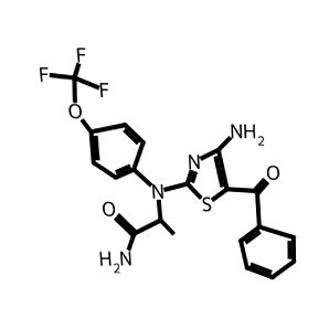 CC(C(N)=O)N(c1ccc(OC(F)(F)F)cc1)c1nc(N)c(C(=O)c2ccccc2)s1